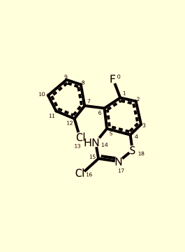 Fc1ccc2c(c1-c1ccccc1Cl)NC(Cl)=NS2